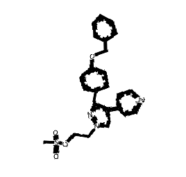 CS(=O)(=O)OCCn1cc(-c2ccncc2)c(-c2ccc(OCc3ccccc3)cc2)n1